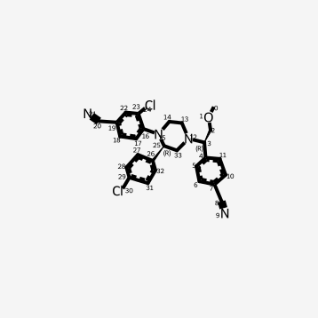 COC[C@@H](c1ccc(C#N)cc1)N1CCN(c2ccc(C#N)cc2Cl)[C@H](c2ccc(Cl)cc2)C1